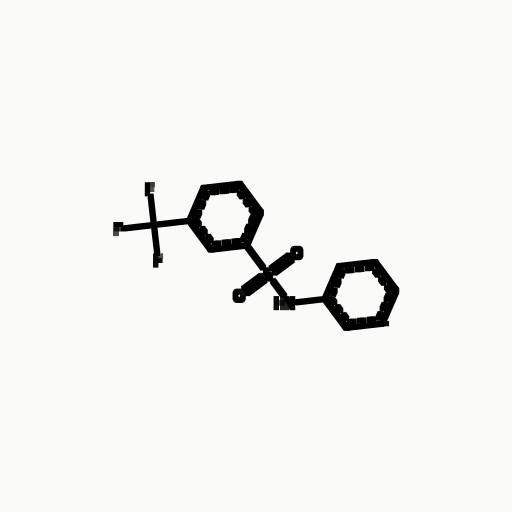 O=S(=O)(Nc1c[c]ccc1)c1cccc(C(F)(F)F)c1